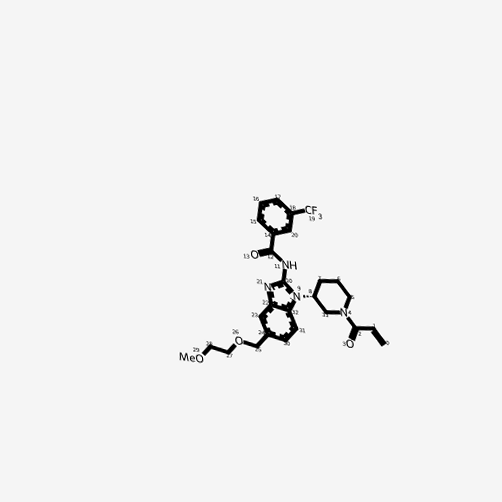 C=CC(=O)N1CCC[C@@H](n2c(NC(=O)c3cccc(C(F)(F)F)c3)nc3cc(COCCOC)ccc32)C1